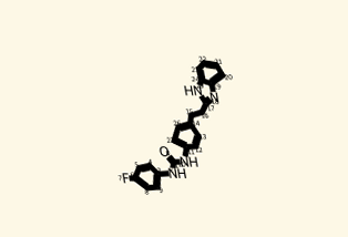 O=C(Nc1ccc(F)cc1)Nc1ccc(CCc2nc3ccccc3[nH]2)cc1